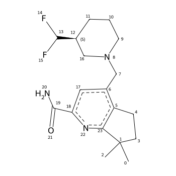 CC1(C)CCc2c(CN3CCC[C@H](C(F)F)C3)cc(C(N)=O)nc21